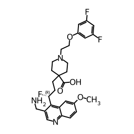 COc1ccc2ncc(CN)c([C@H](F)CCC3(C(=O)O)CCN(CCOc4cc(F)cc(F)c4)CC3)c2c1